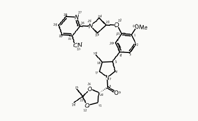 COc1ccc(C2CN(C(=O)[C@@H]3COC(C)(C)O3)CC2C)cc1OC1CN(c2ncccc2C#N)C1